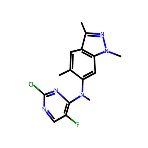 Cc1cc2c(C)nn(C)c2cc1N(C)c1nc(Cl)ncc1F